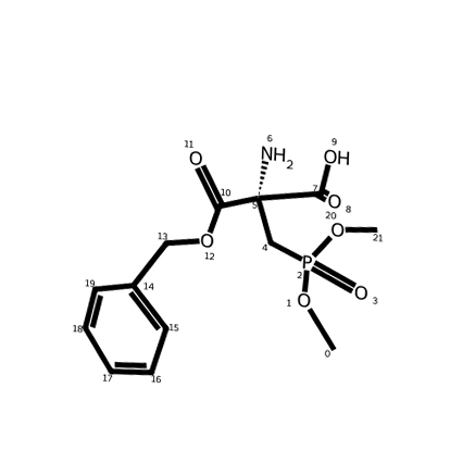 COP(=O)(C[C@](N)(C(=O)O)C(=O)OCc1ccccc1)OC